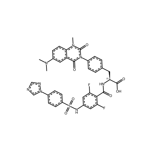 CN(C)c1ccc2c(c1)c(=O)n(-c1ccc(C[C@H](NC(=O)c3c(F)cc(NS(=O)(=O)c4ccc(-n5cncn5)cc4)cc3F)C(=O)O)cc1)c(=O)n2C